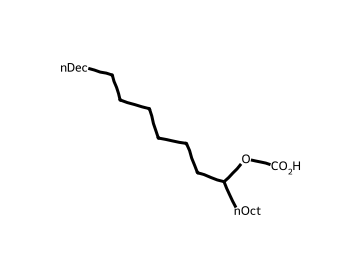 CCCCCCCCCCCCCCCCC(CCCCCCCC)OC(=O)O